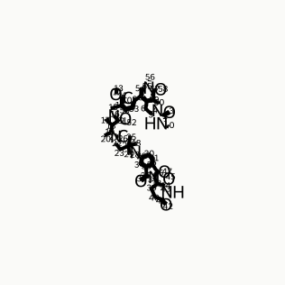 CNC(=O)N1CCc2c(-c3cc(OC)c(CN4CC(C(C)N5CCC6(CC5)CN(c5ccc7c(c5)C(=O)N(C5CCC(=O)NC5=O)C7=O)C6)C4)c(OC)c3)cn(C)c(=O)c2C1